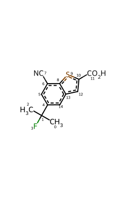 CC(C)(F)c1cc(C#N)c2sc(C(=O)O)cc2c1